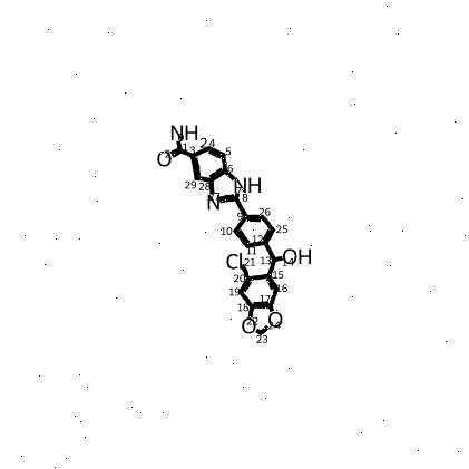 NC(=O)c1ccc2[nH]c(-c3ccc(C(O)c4cc5c(cc4Cl)OCO5)cc3)nc2c1